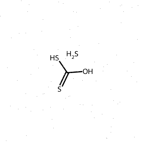 OC(=S)S.S